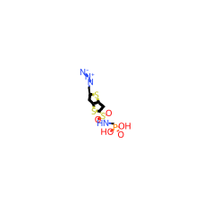 [N-]=[N+]=NCc1cc2sc(S(=O)(=O)NCP(=O)(O)O)cc2s1